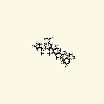 CN(C)CCC(NC(=O)Nc1ccsc1)c1ccc(C(=O)Nc2ccccc2N)nc1